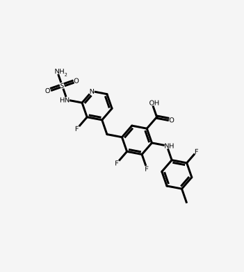 Cc1ccc(Nc2c(C(=O)O)cc(Cc3ccnc(NS(N)(=O)=O)c3F)c(F)c2F)c(F)c1